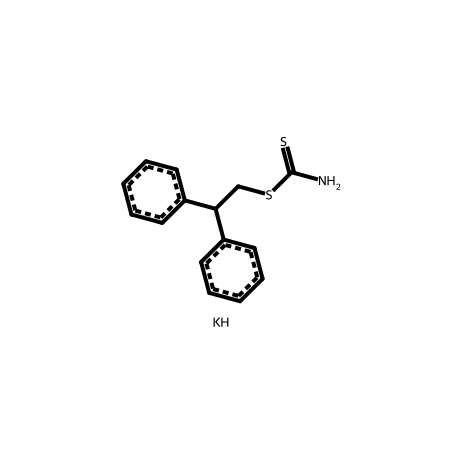 NC(=S)SCC(c1ccccc1)c1ccccc1.[KH]